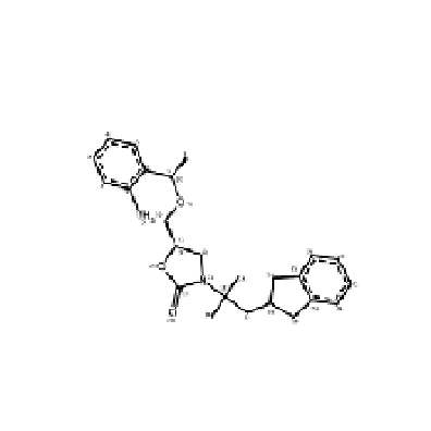 Bc1ccccc1[C@@H](C)OC[C@H]1CN(C(C)(C)CC2Cc3ccccc3C2)C(=O)O1